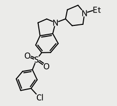 CCN1CCC(N2CCc3cc(S(=O)(=O)c4cccc(Cl)c4)ccc32)CC1